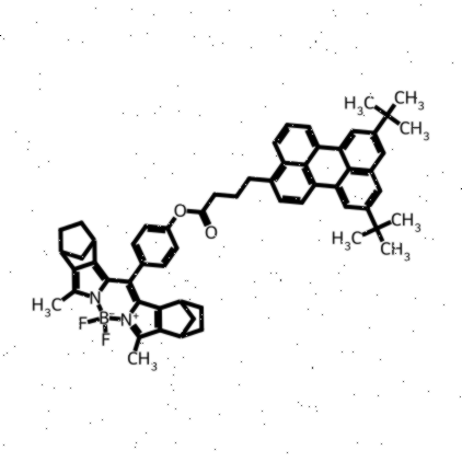 CC1=[N+]2C(=C(c3ccc(OC(=O)CCCc4ccc5c6cc(C(C)(C)C)cc7cc(C(C)(C)C)cc(c8cccc4c85)c76)cc3)c3c4c(c(C)n3[B-]2(F)F)C2CCC4C2)C2=C1C1CCC2C1